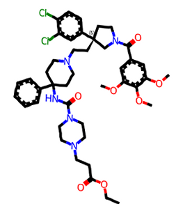 CCOC(=O)CCN1CCN(C(=O)NC2(c3ccccc3)CCN(CC[C@@]3(c4ccc(Cl)c(Cl)c4)CCN(C(=O)c4cc(OC)c(OC)c(OC)c4)C3)CC2)CC1